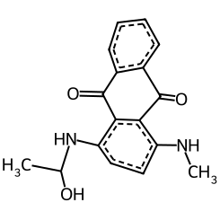 CNc1ccc(NC(C)O)c2c1C(=O)c1ccccc1C2=O